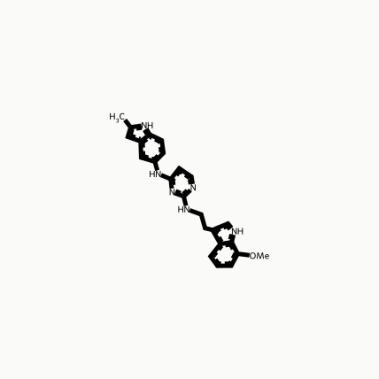 COc1cccc2c(CCNc3nccc(Nc4ccc5[nH]c(C)cc5c4)n3)c[nH]c12